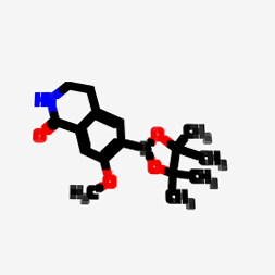 COc1cc2c(cc1B1OC(C)(C)C(C)(C)O1)CCNC2=O